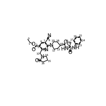 CCOC(=O)c1cc(C#N)c(N2CCC(C(=O)NS(=O)(=O)Nc3ccccc3)CC2)nc1CN1CCCC1=O